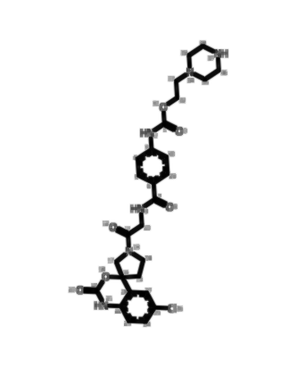 O=C(Nc1ccc(C(=O)NCC(=O)N2CCC3(C2)OC(=O)Nc2ccc(Cl)cc23)cc1)OCCN1CCNCC1